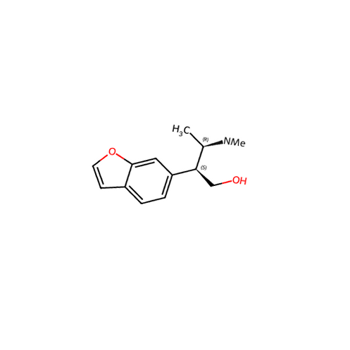 CN[C@H](C)[C@@H](CO)c1ccc2ccoc2c1